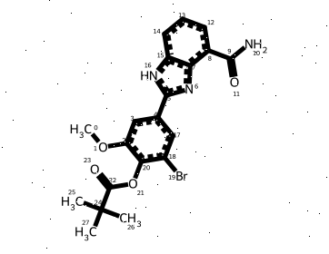 COc1cc(-c2nc3c(C(N)=O)cccc3[nH]2)cc(Br)c1OC(=O)C(C)(C)C